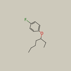 CCCCC(CC)Oc1ccc(F)cc1